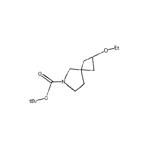 CCOC1CC2(CCN(C(=O)OC(C)(C)C)C2)C1